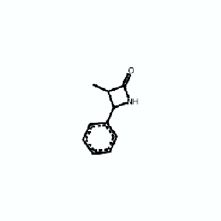 CC1C(=O)NC1c1ccccc1